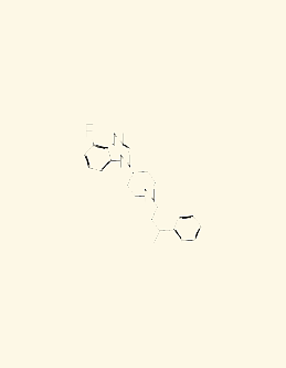 CC(CCN1CCC(n2cnc3c(F)cccc32)CC1)c1ccccc1